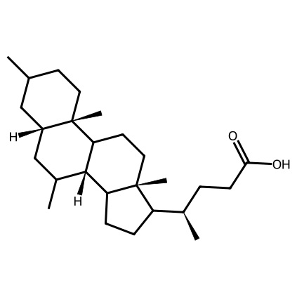 CC1CC[C@]2(C)C3CC[C@@]4(C)C(CCC4[C@H](C)CCC(=O)O)[C@@H]3C(C)C[C@@H]2C1